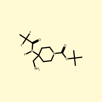 CC(C)(C)OC(=O)N1CCC(CN)(N(F)C(=O)C(C)(F)F)CC1